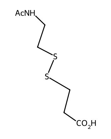 CC(=O)NCCSSCCC(=O)O